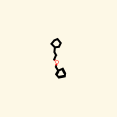 [CH](COCc1ccccc1)CC1CCCCC1